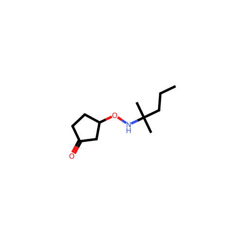 CCCC(C)(C)NOC1CCC(=O)C1